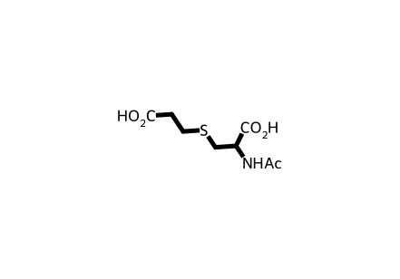 CC(=O)NC(CSCCC(=O)O)C(=O)O